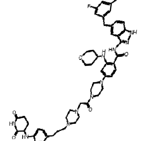 O=C1CCC(Nc2ccc(CCCN3CCN(CC(=O)N4CCN(c5ccc(C(=O)Nc6n[nH]c7ccc(Cc8cc(F)cc(F)c8)cc67)c(NC6CCOCC6)c5)CC4)CC3)cc2)C(=O)N1